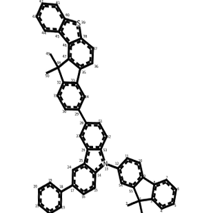 CC1(C)c2ccccc2-c2ccc(-n3c4ccc(-c5ccccc5)cc4c4cc(-c5ccc6c(c5)-c5ccc7sc8ccccc8c7c5C6(C)C)ccc43)cc21